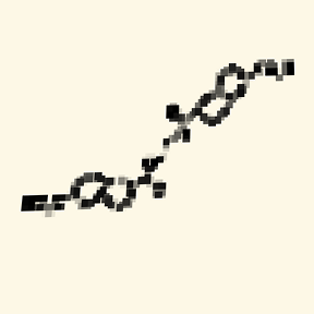 O=C(O)c1ccc2cc(C(=O)OCCOC(=O)c3ccc4cc(C(=O)O)ccc4c3)ccc2c1